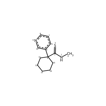 CNC(=S)C1(c2cccnc2)CCCCC1